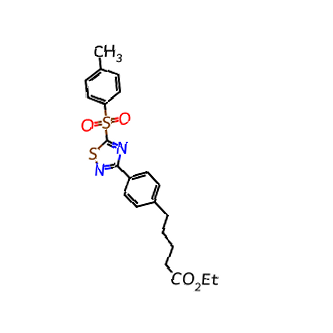 CCOC(=O)CCCCc1ccc(-c2nsc(S(=O)(=O)c3ccc(C)cc3)n2)cc1